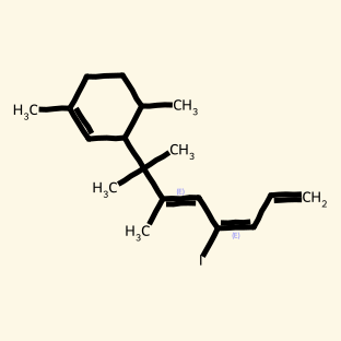 C=C/C=C(I)\C=C(/C)C(C)(C)C1C=C(C)CCC1C